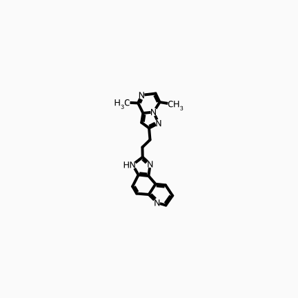 Cc1ncc(C)n2nc(CCc3nc4c(ccc5ncccc54)[nH]3)cc12